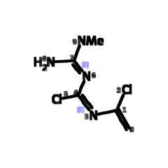 C=C(Cl)/N=C(Cl)\N=C(/N)NC